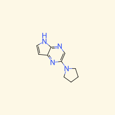 c1cc2nc(N3CCCC3)cnc2[nH]1